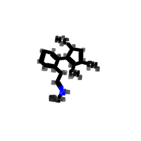 CC1=CC(C)C(c2ccccc2CC=NC(C)(C)C)=C1C